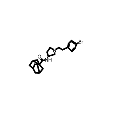 O=C(N[C@H]1CCN(CCc2ccc(Br)cc2)C1)C12CC3CC(CC(C3)C1)C2